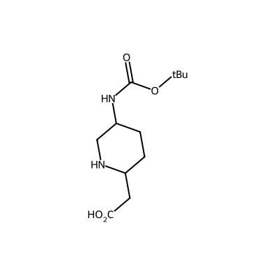 CC(C)(C)OC(=O)NC1CCC(CC(=O)O)NC1